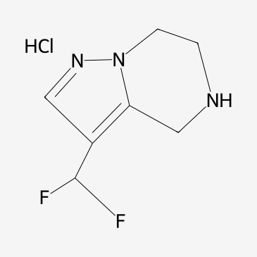 Cl.FC(F)c1cnn2c1CNCC2